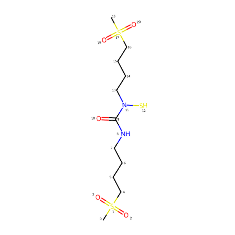 CS(=O)(=O)CCCCNC(=O)N(S)CCCCS(C)(=O)=O